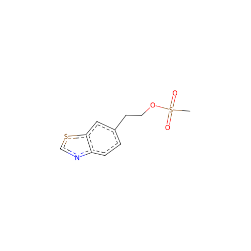 CS(=O)(=O)OCCc1ccc2ncsc2c1